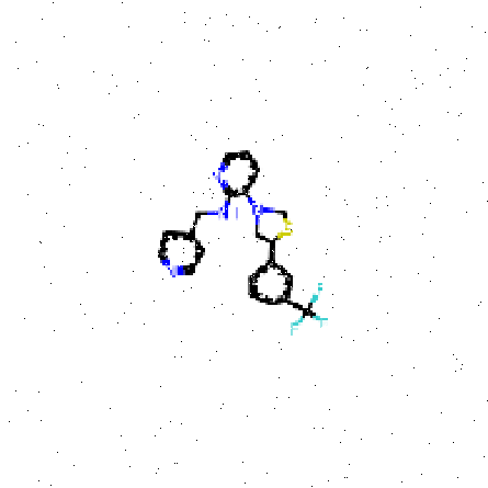 FC(F)(F)c1cccc(C2CN(c3cccnc3NCc3ccncc3)CS2)c1